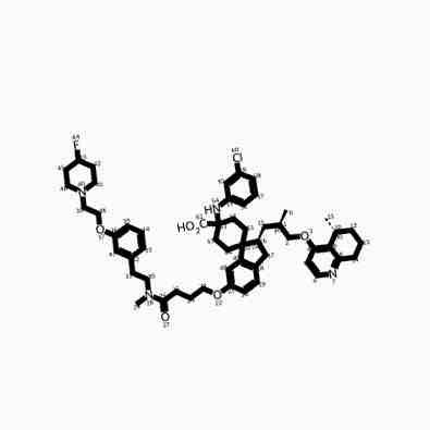 C[C@@H](COc1ccnc2c1[C@H](C)CCC2)C[C@H]1Cc2ccc(OCCCC(=O)N(C)CCc3cccc(OCCN4CCC(F)CC4)c3)cc2C12CCC(Nc1cccc(Cl)c1)(C(=O)O)CC2